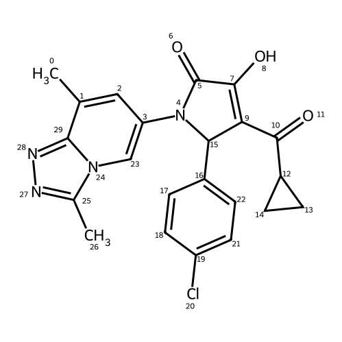 Cc1cc(N2C(=O)C(O)=C(C(=O)C3CC3)C2c2ccc(Cl)cc2)cn2c(C)nnc12